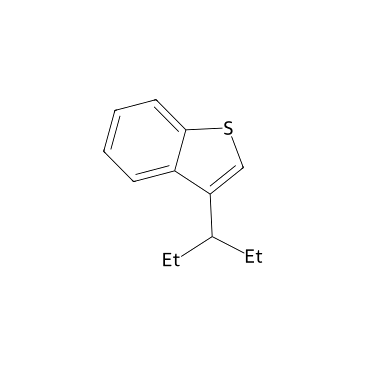 CCC(CC)c1csc2ccccc12